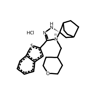 Cl.c1ccc2sc(C3=NN[C@]4(CC5CCC4CC5)N3CC3CCOCC3)cc2c1